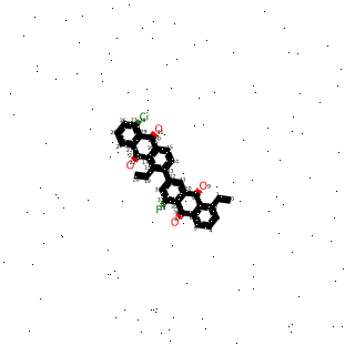 C=Cc1cccc2c1C(=O)c1cc(-c3ccc4c(c3C=C)C(=O)c3cccc(Cl)c3C4=O)cc(F)c1C2=O